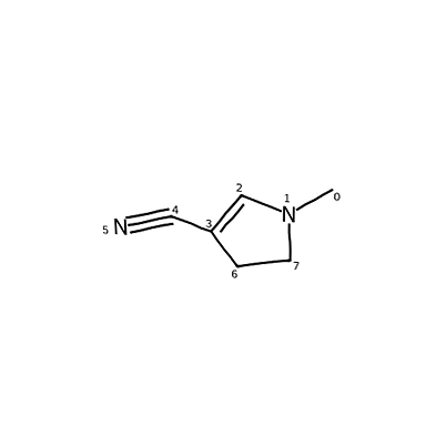 CN1C=C(C#N)CC1